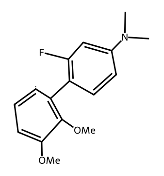 COc1cc[c]c(-c2ccc(N(C)C)cc2F)c1OC